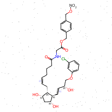 O=C(CCC/C=C\C[C@@H]1[C@@H](/C=C/[C@@H](O)COc2cccc(Cl)c2)[C@H](O)C[C@@H]1O)NCC(=O)OCc1ccc(CO[N+](=O)[O-])cc1